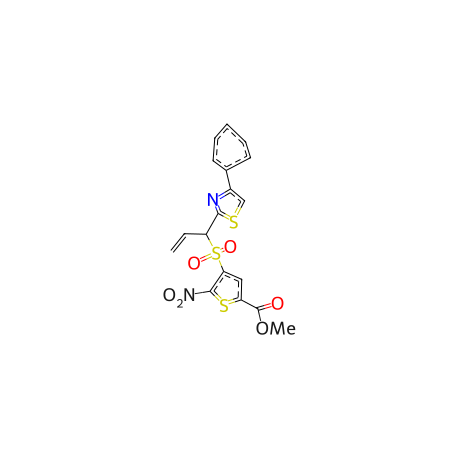 C=CC(c1nc(-c2ccccc2)cs1)S(=O)(=O)c1cc(C(=O)OC)sc1[N+](=O)[O-]